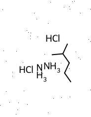 CCCC(C)C.Cl.Cl.N.N